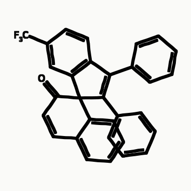 O=C1C=Cc2ccccc2C12C(c1ccccc1)=C(c1ccccc1)c1ccc(C(F)(F)F)cc12